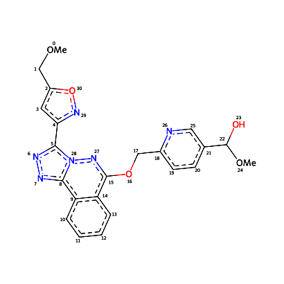 COCc1cc(-c2nnc3c4ccccc4c(OCc4ccc(C(O)OC)cn4)nn23)no1